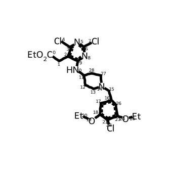 CCOC(=O)Cc1c(Cl)nc(Cl)nc1NC1CCN(Cc2cc(OCC)c(Cl)c(OCC)c2)CC1